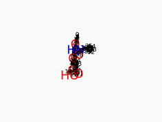 CCCCOCCN(CCOc1ccc(CC(OCC)C(=O)O)cc1)C(=O)NCCc1ccccc1